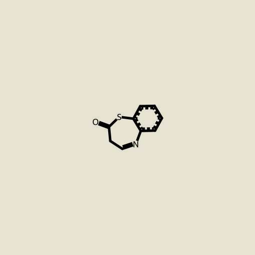 O=C1CC=Nc2ccccc2S1